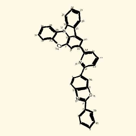 c1ccc(-c2nc3ccc(-c4cccc(-c5cc6c7c(c5)c5ccccc5n7-c5ccccc5O6)n4)cc3o2)cc1